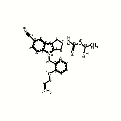 C=CCOc1cccnc1Cn1c2c(c3cc(C#N)ccc31)C[C@H](NC(=O)OC(C)C)C2